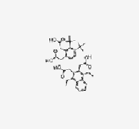 CC(C)(C)c1ccc(CC(=O)O)c(CC(=O)O)c1C(C)(C)C.CCc1c(CC(=O)O)c(CC(=O)O)c(CC)c2ccccc12